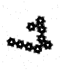 c1ccc(-c2ccc(-c3ccc(-c4ccnc(-n5c6ccccc6c6cc(-c7ccc8c9ccccc9n(-c9ccccc9)c8c7)ccc65)n4)cc3)cc2)cc1